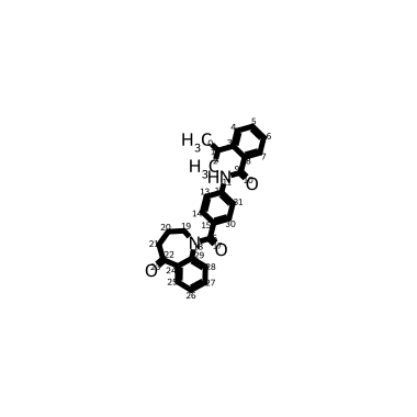 CC(C)c1ccccc1C(=O)Nc1ccc(C(=O)N2CCCC(=O)c3ccccc32)cc1